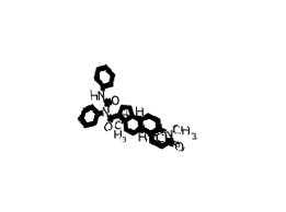 CN1C(=O)C=C[C@@]2(C)C1CC[C@@H]1[C@H]2CC[C@]2(C)C(C(=O)N(C(=O)NC3CCCCC3)C3CCCCC3)CC[C@@H]12